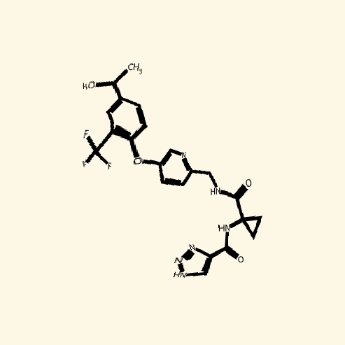 CC(O)c1ccc(Oc2ccc(CNC(=O)C3(NC(=O)c4c[nH]nn4)CC3)nc2)c(C(F)(F)F)c1